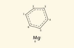 [Mg].c1ccccc1